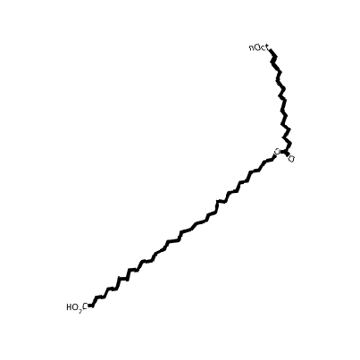 CCCCCCCCC=CCCCCCCCCCCCC(=O)OCCCCCCCCCCCCCCCCCCCCCCCCCCCCCCCC(=O)O